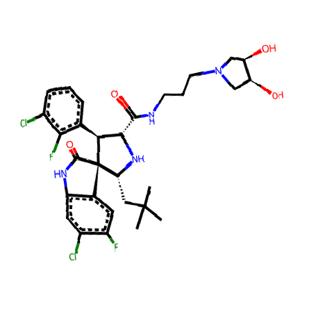 CC(C)(C)C[C@H]1N[C@@H](C(=O)NCCCN2C[C@@H](O)[C@@H](O)C2)[C@H](c2cccc(Cl)c2F)[C@@]12C(=O)Nc1cc(Cl)c(F)cc12